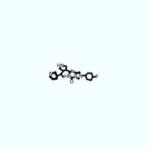 CC(c1cccnc1)C1CNCC1C1=NC2=CN(C3CCC(F)CC3)CN2C(=O)N1